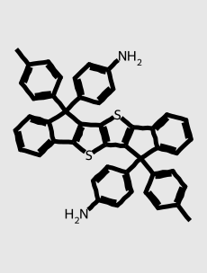 Cc1ccc(C2(c3ccc(N)cc3)c3ccccc3-c3sc4c5c(sc4c32)-c2ccccc2C5(c2ccc(C)cc2)c2ccc(N)cc2)cc1